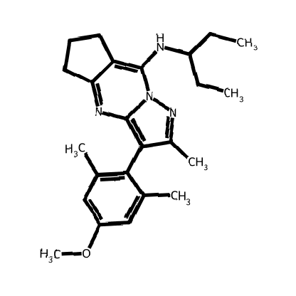 CCC(CC)Nc1c2c(nc3c(-c4c(C)cc(OC)cc4C)c(C)nn13)CCC2